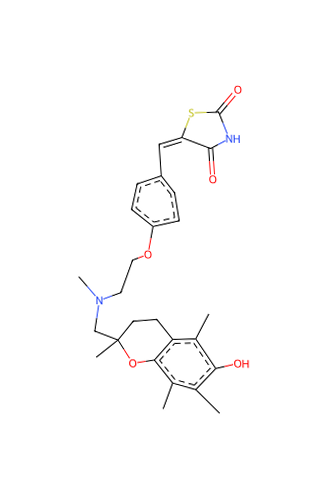 Cc1c(C)c2c(c(C)c1O)CCC(C)(CN(C)CCOc1ccc(/C=C3/SC(=O)NC3=O)cc1)O2